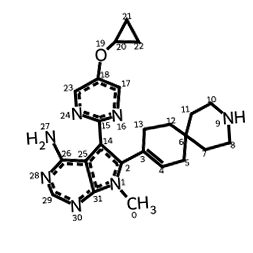 Cn1c(C2=CCC3(CCNCC3)CC2)c(-c2ncc(OC3CC3)cn2)c2c(N)ncnc21